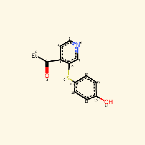 CCC(=O)c1ccncc1Sc1ccc(O)cc1